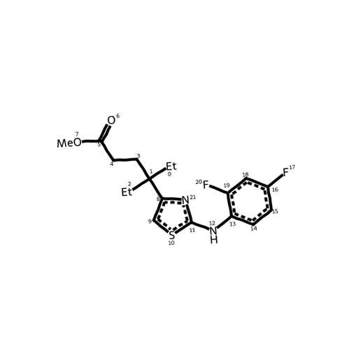 CCC(CC)(CCC(=O)OC)c1csc(Nc2ccc(F)cc2F)n1